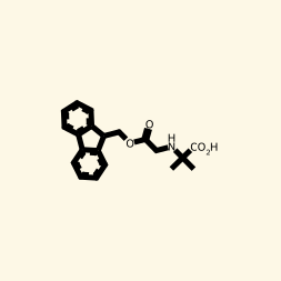 CC(C)(NCC(=O)OCC1c2ccccc2-c2ccccc21)C(=O)O